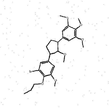 CCCOc1c(Br)cc(C2CCC(c3cc(OC)c(OC)c(OC)c3)C2OC)cc1OC